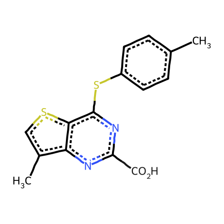 Cc1ccc(Sc2nc(C(=O)O)nc3c(C)csc23)cc1